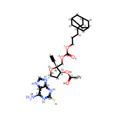 C#C[C@]1(COC(=O)OCCCC23CC4CC(CC(C4)C2)C3)O[C@@H](n2cnc3c(N)nc(F)nc32)C[C@@H]1OC(=O)C(C)C